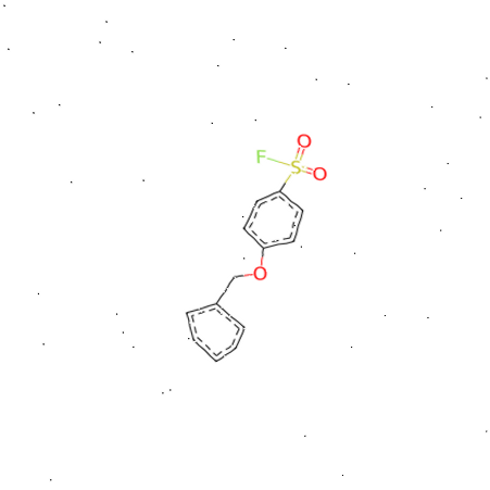 O=S(=O)(F)c1ccc(OCc2ccccc2)cc1